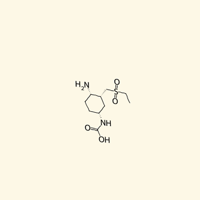 CCS(=O)(=O)C[C@@H]1C[C@H](NC(=O)O)CC[C@@H]1N